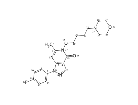 Cc1nc2c(cnn2-c2ccc(F)cc2)c(=O)n1OCCCCN1CCOCC1